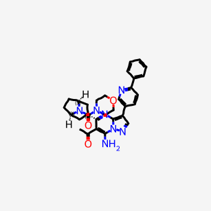 CC(=O)c1c([C@@H]2C[C@H]3CC[C@@H](C2)N3C(=O)N2CCOCC2)nc2c(-c3ccc(-c4ccccc4)nc3)cnn2c1N